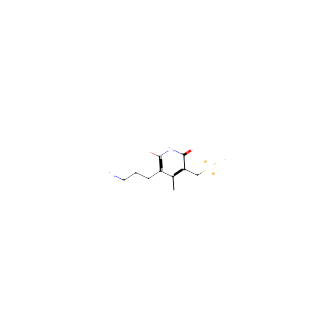 Cc1c(CCCN)c(O)[nH]c(=O)c1CS(=O)(=O)O